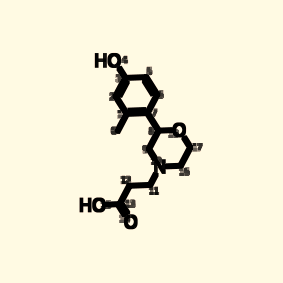 Cc1cc(O)ccc1C1CN(CCC(=O)O)CCO1